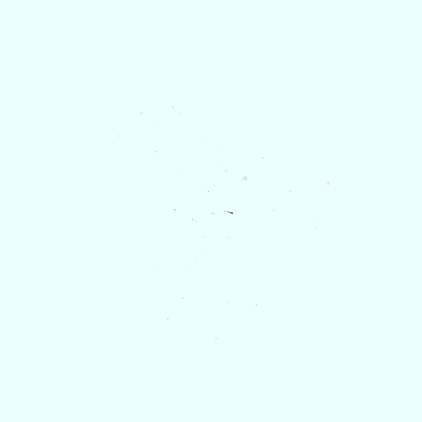 C[C@H](C(=O)N(Cc1ccc(C2CCCCC2)cc1)c1ccc(B(O)O)cc1)N(C)S(=O)(=O)c1c(F)c(F)c(F)c(F)c1F